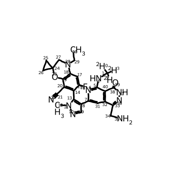 [2H]C([2H])([2H])Nc1nc(-c2cnn(C)c2-c2c(F)cc3c(c2C#N)OC2(CC2)CN3CC)cc2c(CN)n[nH]c(=O)c12